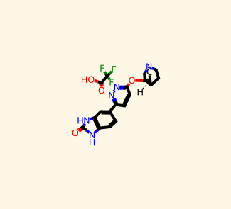 O=C(O)C(F)(F)F.O=c1[nH]c2ccc(-c3ccc(O[C@H]4CN5CCC4CC5)nn3)cc2[nH]1